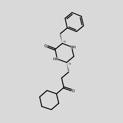 O=C(CC[C@H]1CN[C@@H](Cc2ccccc2)C(=O)N1)C1CCCCC1